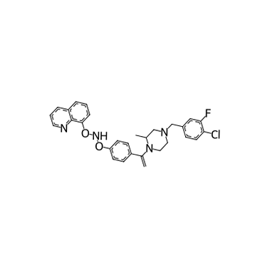 C=C(c1ccc(ONOc2cccc3cccnc23)cc1)N1CCN(Cc2ccc(Cl)c(F)c2)CC1C